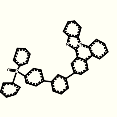 O=P(c1ccccc1)(c1ccccc1)c1ccc(-c2cccc(-c3ccc4c5ccccc5n5c6ccccc6nc5c4c3)c2)cc1